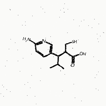 CC(C)C(c1ccc(N)nc1)C(CS)C(=O)O